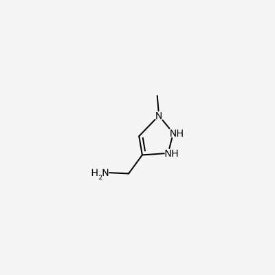 CN1C=C(CN)NN1